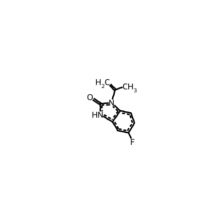 C=C(C)n1c(=O)[nH]c2cc(F)ccc21